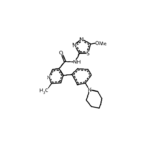 COc1nnc(NC(=O)c2cnc(C)cc2-c2cccc(N3CCCCC3)c2)s1